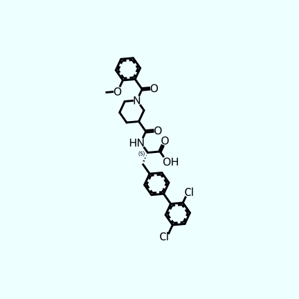 COc1ccccc1C(=O)N1CCCC(C(=O)N[C@@H](Cc2ccc(-c3cc(Cl)ccc3Cl)cc2)C(=O)O)C1